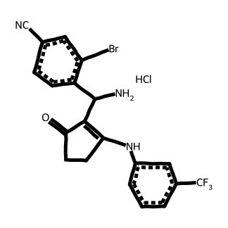 Cl.N#Cc1ccc(C(N)C2=C(Nc3cccc(C(F)(F)F)c3)CCC2=O)c(Br)c1